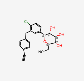 C#Cc1ccc(Cc2cc([C@@H]3O[C@H](CC#N)[C@@H](O)[C@H](O)[C@H]3O)ccc2Cl)cc1